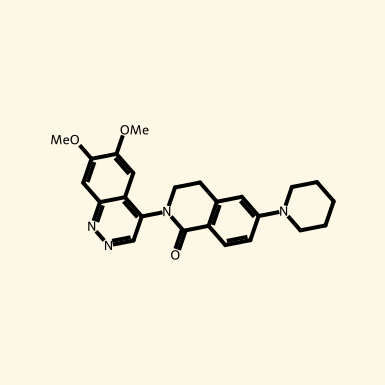 COc1cc2nncc(N3CCc4cc(N5CCCCC5)ccc4C3=O)c2cc1OC